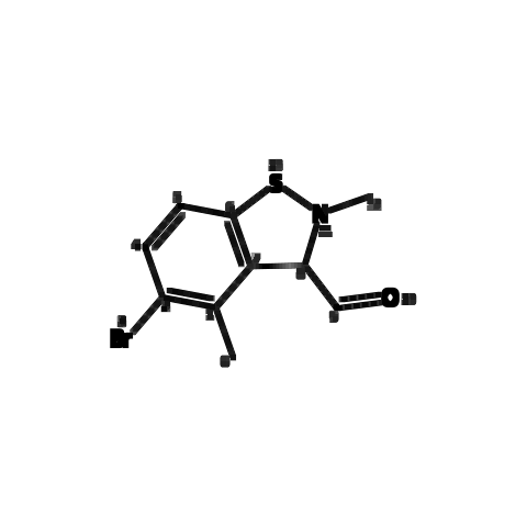 Cc1c(Br)ccc2c1C(C=O)N(C)S2